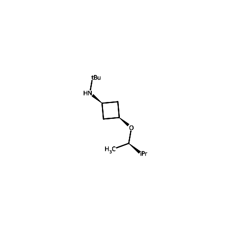 CC(C)[C@@H](C)O[C@H]1C[C@@H](NC(C)(C)C)C1